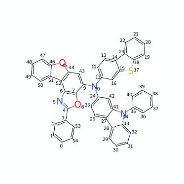 c1ccc(-c2nc3c(o2)c(N(c2ccc4c(c2)sc2ccccc24)c2ccc4c5ccccc5n(-c5ccccc5)c4c2)cc2oc4ccccc4c23)cc1